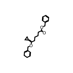 O=C(CCCCC(OCC1=CCCC=C1)=C1CC1)OCc1ccccc1